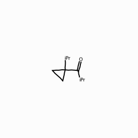 CC(C)C(=O)C1(C(C)C)CC1